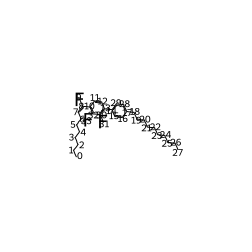 CCCCCCC/C=C(/F)c1ccc(-c2ccc(CCCCCCCCCC)cc2)c(F)c1F